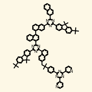 CC(C)(C)c1ccc2c(c1)C(C)(C)c1cc(-c3nc(-c4ccc5ccccc5c4)nc(-c4ccc5c(-c6ccc(-c7nc(-c8ccc9c(c8)C(C)(C)c8cc(C(C)(C)C)ccc8-9)nc(-c8cccc9cc(CC(C)(C)c%10ccc(-c%11nc(-c%12cccnc%12)nc(-c%12cccnc%12)n%11)cc%10)ccc89)n7)c7ccccc67)cccc5c4)n3)ccc1-2